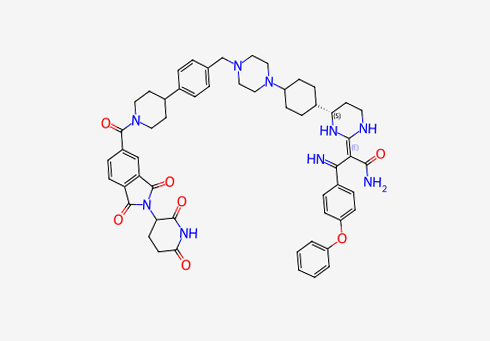 N=C(/C(C(N)=O)=C1/NCC[C@@H](C2CCC(N3CCN(Cc4ccc(C5CCN(C(=O)c6ccc7c(c6)C(=O)N(C6CCC(=O)NC6=O)C7=O)CC5)cc4)CC3)CC2)N1)c1ccc(Oc2ccccc2)cc1